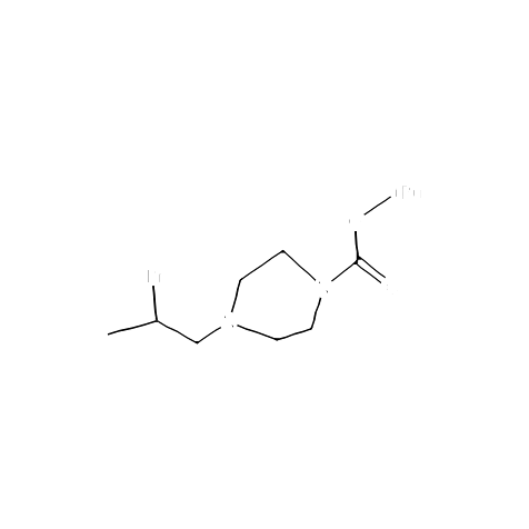 CC(Br)CN1CCN(C(=O)OC(C)(C)C)CC1